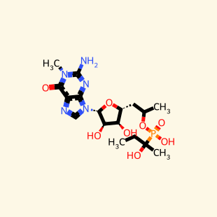 CCC(C)(O)P(=O)(O)OC(C)C[C@H]1O[C@@H](n2cnc3c(=O)n(C)c(N)nc32)[C@H](O)[C@@H]1O